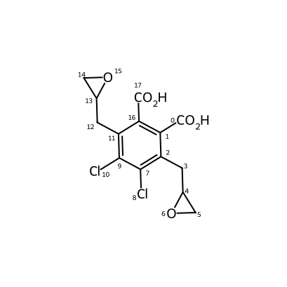 O=C(O)c1c(CC2CO2)c(Cl)c(Cl)c(CC2CO2)c1C(=O)O